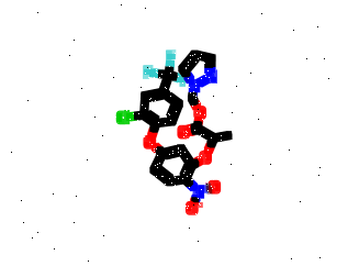 CC(Oc1cc(Oc2ccc(C(F)(F)F)cc2Cl)ccc1[N+](=O)[O-])C(=O)OCn1cccn1